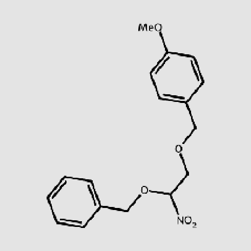 COc1ccc(COC[C](OCc2ccccc2)[N+](=O)[O-])cc1